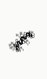 CCC1(C2OC(C3OC4(COC(=O)CO4)C(C)CC3C)CC2C)CCC(C2(C)CCC3(CC(=O)C(C)C(C(C)C(OC)C(C)C(=O)O)O3)O2)O1